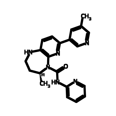 Cc1cncc(-c2ccc3c(n2)N(C(=O)Nc2ccccn2)[C@H](C)CCN3)c1